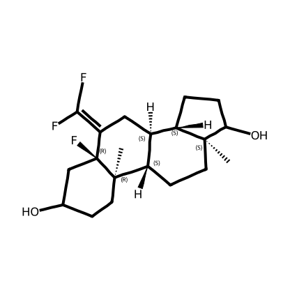 C[C@]12CC[C@H]3[C@@H](CC(=C(F)F)[C@@]4(F)CC(O)CC[C@]34C)[C@@H]1CCC2O